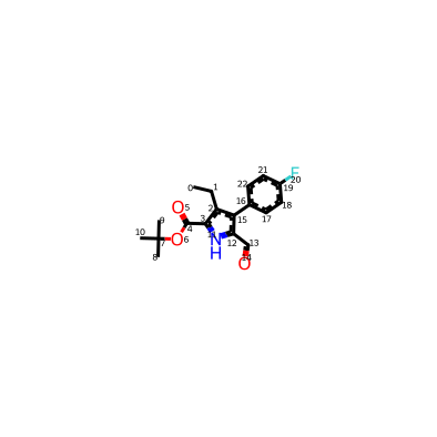 CCc1c(C(=O)OC(C)(C)C)[nH]c(C=O)c1-c1ccc(F)cc1